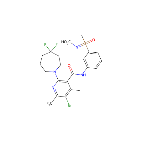 Cc1c(Br)c(C(F)(F)F)nc(N2CCCC(F)(F)CC2)c1C(=O)Nc1cccc(S(C)(=O)=NC(=O)O)c1